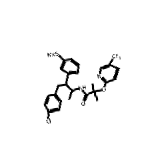 CSc1cccc(C(Cc2ccc(Cl)cc2)C(C)NC(=O)C(C)(C)Oc2ccc(C(F)(F)F)cn2)c1